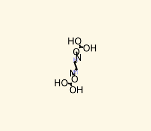 OC(O)O/N=C/C=N/OC(O)O